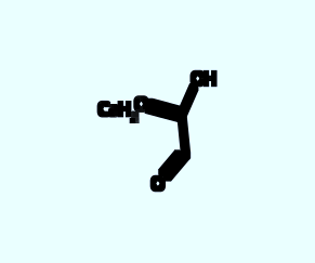 O=CC(=O)O.[CaH2]